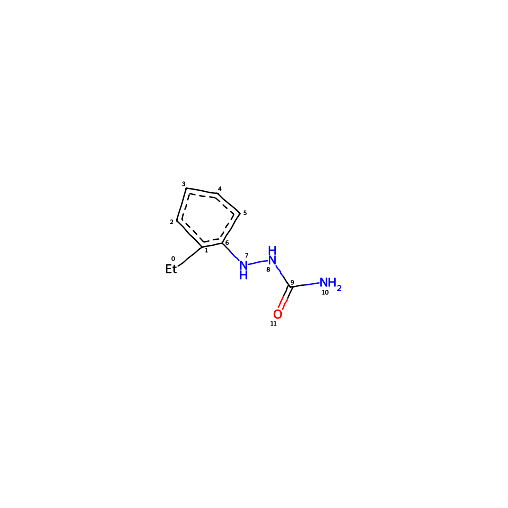 CCc1ccccc1NNC(N)=O